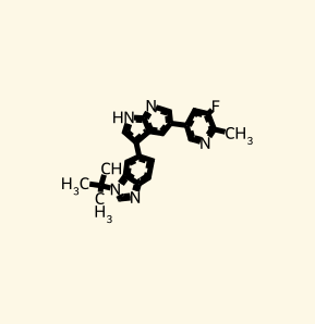 Cc1ncc(-c2cnc3[nH]cc(-c4ccc5ncn(C(C)(C)C)c5c4)c3c2)cc1F